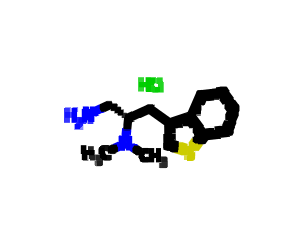 CN(C)[C@H](CN)Cc1csc2ccccc12.Cl